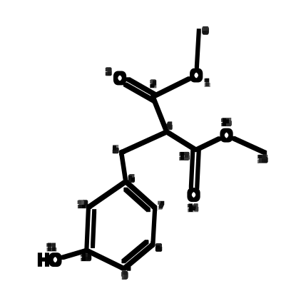 COC(=O)C(Cc1cc[c]c(O)c1)C(=O)OC